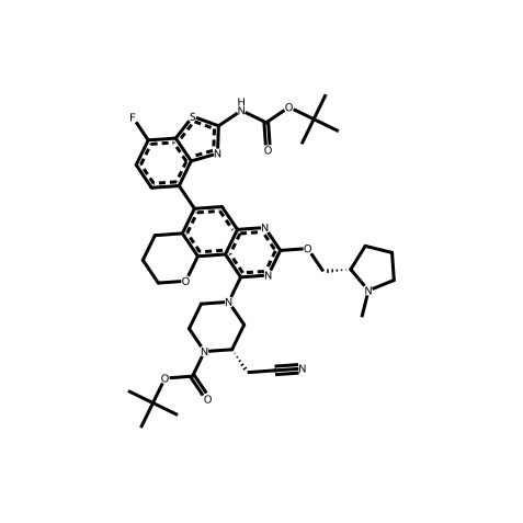 CN1CCC[C@H]1COc1nc(N2CCN(C(=O)OC(C)(C)C)[C@@H](CC#N)C2)c2c3c(c(-c4ccc(F)c5sc(NC(=O)OC(C)(C)C)nc45)cc2n1)CCCO3